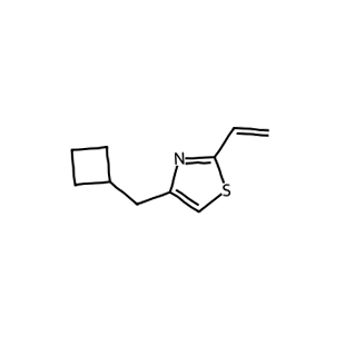 C=Cc1nc(CC2CCC2)cs1